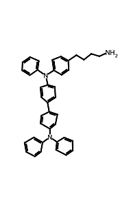 NCCCCc1ccc(N(c2ccccc2)c2ccc(-c3ccc(N(c4ccccc4)c4ccccc4)cc3)cc2)cc1